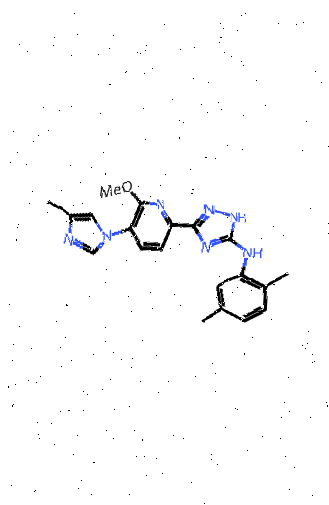 COc1nc(-c2n[nH]c(Nc3cc(C)ccc3C)n2)ccc1-n1cnc(C)c1